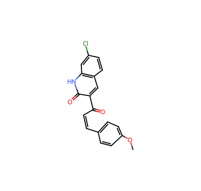 COc1ccc(/C=C\C(=O)c2cc3ccc(Cl)cc3[nH]c2=O)cc1